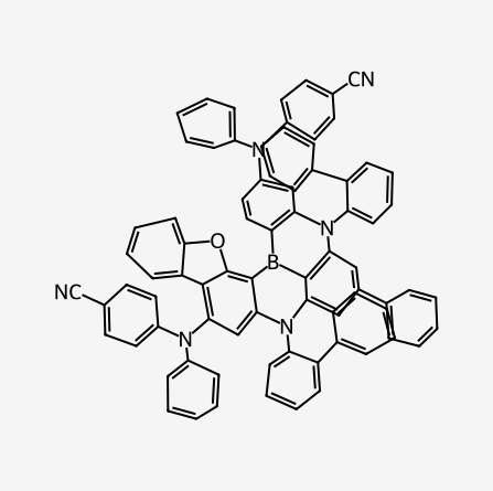 N#Cc1ccc(N(c2ccccc2)c2ccc3c(c2)N(c2ccccc2-c2ccccc2)c2cc(-c4ccccc4)cc4c2B3c2c(cc(N(c3ccccc3)c3ccc(C#N)cc3)c3c2oc2ccccc23)N4c2ccccc2-c2ccccc2)cc1